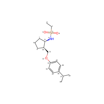 CCS(=O)(=O)N[C@@H]1CCC[C@@H]1COc1ccc(C(C)C)cc1